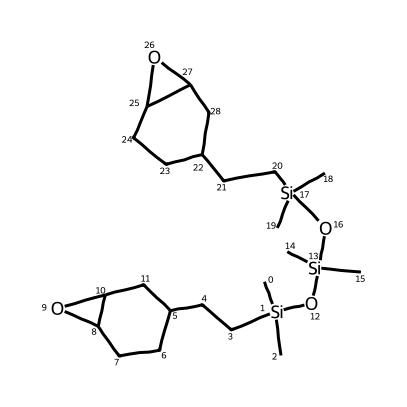 C[Si](C)(CCC1CCC2OC2C1)O[Si](C)(C)O[Si](C)(C)CCC1CCC2OC2C1